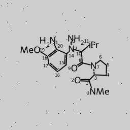 CNC(=O)C1CCCN1C(=O)C(C(C)C)N(N)c1cccc(OC)c1N